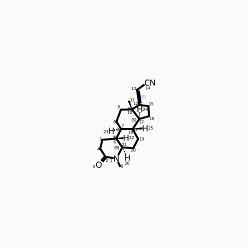 CN1C(=O)CC[C@@H]2[C@H]3CC[C@]4(C)/C(=C/C#N)CC[C@H]4[C@@H]3CC[C@H]21